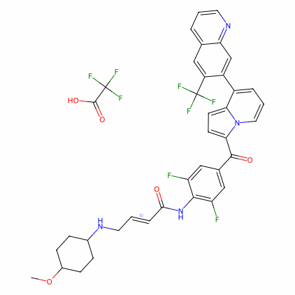 COC1CCC(NC/C=C/C(=O)Nc2c(F)cc(C(=O)c3ccc4c(-c5cc6ncccc6cc5C(F)(F)F)cccn34)cc2F)CC1.O=C(O)C(F)(F)F